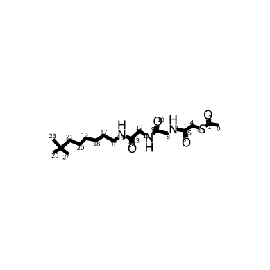 CC(=O)SCC(=O)NCC(=O)NCC(=O)NCCCCCCC(C)(C)C